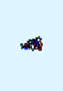 CCC1(C(=O)N[C@@H]2CCCC[C@H]2N2Cc3ccc(-c4nnc(C(F)F)o4)cc3C2=O)COC1